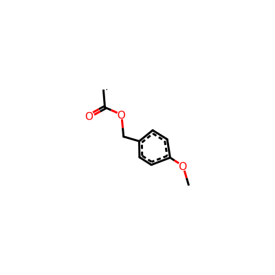 [CH2]C(=O)OCc1ccc(OC)cc1